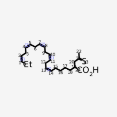 CC/C=C\C/C=C\C/C=C\C/C=C\C/C=C\CCCCC(CC(C)=S)C(=O)O